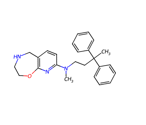 CN(CCC(C)(c1ccccc1)c1ccccc1)c1ccc2c(n1)OCCNC2